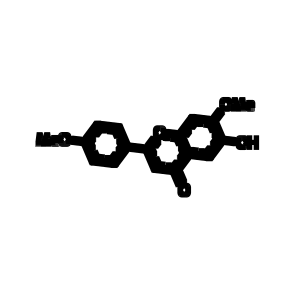 COc1ccc(-c2cc(=O)c3cc(O)c(OC)cc3o2)cc1